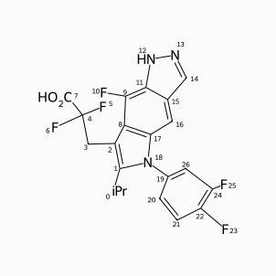 CC(C)c1c(CC(F)(F)C(=O)O)c2c(F)c3[nH]ncc3cc2n1-c1ccc(F)c(F)c1